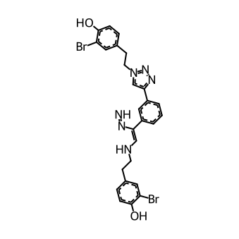 N=N/C(=C\NCCc1ccc(O)c(Br)c1)c1cccc(-c2cn(CCc3ccc(O)c(Br)c3)nn2)c1